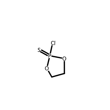 S=P1(Cl)OCCO1